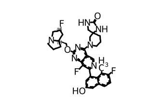 Cc1c(F)ccc2cc(O)cc(-c3ncc4c(N5CCCC6(CNC(=O)N6)C5)nc(OC[C@@]56CCCN5C[C@H](F)C6)nc4c3F)c12